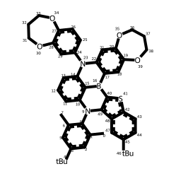 Cc1cc(C(C)(C)C)cc(C)c1N1c2cccc3c2B(c2cc4c(cc2N3c2ccc3c(c2)OCCCO3)OCCCO4)c2sc3ccc(C(C)(C)C)cc3c21